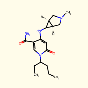 CCCC(CC)n1cc(C(N)=O)c(NC2[C@H]3CN(C)C[C@@H]23)cc1=O